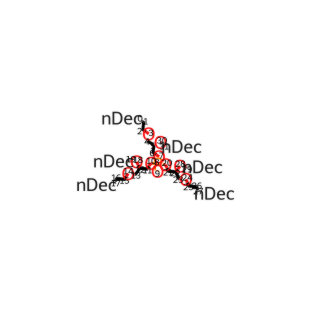 CCCCCCCCCCCCOCC(COP(=O)(OCC(COCCCCCCCCCCCC)OCCCCCCCCCC)OCC(COCCCCCCCCCCCC)OCCCCCCCCCC)OCCCCCCCCCC